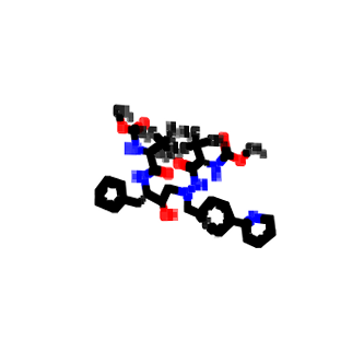 COC(=O)N[C@H](C(=O)N[C@@H](Cc1ccccc1)[C@H](O)CN(Cc1ccc(-c2ccccn2)cc1)NC(=O)[C@@H](NC(=O)OC)C(C)(C)C)C(C)(C)C